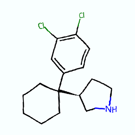 Clc1ccc(C2([C@H]3CCNC3)CCCCC2)cc1Cl